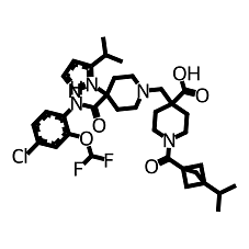 CC(C)c1ccnn1C1(C(=O)Nc2ccc(Cl)cc2OC(F)F)CCN(CC2(C(=O)O)CCN(C(=O)C34CC(C(C)C)(C3)C4)CC2)CC1